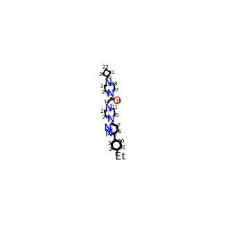 CCc1ccc(-c2ccc(N3CCN(CC(=O)N4CCN(C5CCC5)CC4)CC3)nn2)cc1